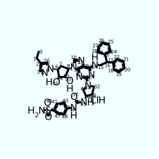 CCc1cnn([C@H]2C[C@@H](n3cnc4c(NCC(c5ccccc5)c5ccccc5)nc(N5CC[C@@H](NC(=O)Nc6ccc(S(N)(=O)=O)cc6)C5)nc43)[C@H](O)[C@@H]2O)c1.Cl